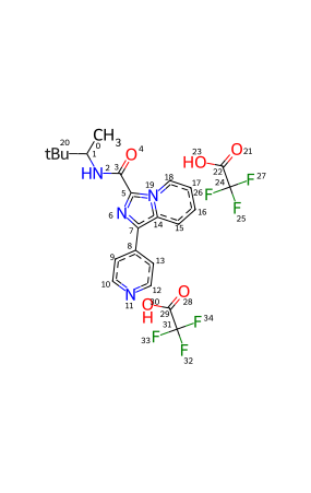 CC(NC(=O)c1nc(-c2ccncc2)c2ccccn12)C(C)(C)C.O=C(O)C(F)(F)F.O=C(O)C(F)(F)F